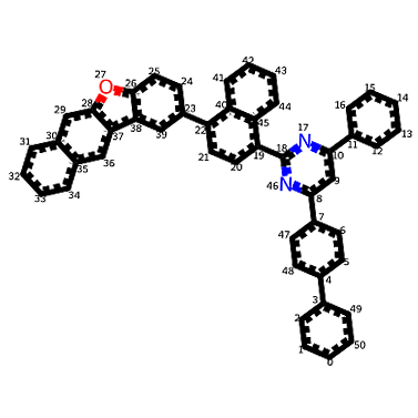 c1ccc(-c2ccc(-c3cc(-c4ccccc4)nc(-c4ccc(-c5ccc6oc7cc8ccccc8cc7c6c5)c5ccccc45)n3)cc2)cc1